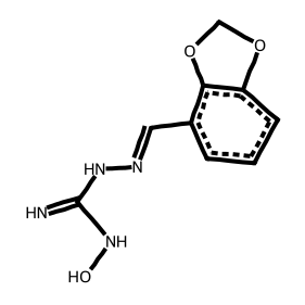 N=C(NO)N/N=C/c1cccc2c1OCO2